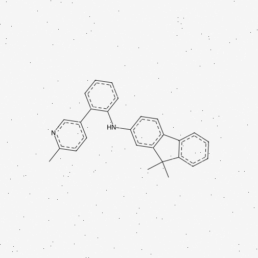 Cc1ccc(-c2ccccc2Nc2ccc3c(c2)C(C)(C)c2ccccc2-3)cn1